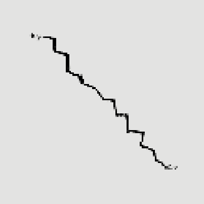 CCCCCCCCCCCCCCCCCCCCC=CC=CC=CC(=O)O